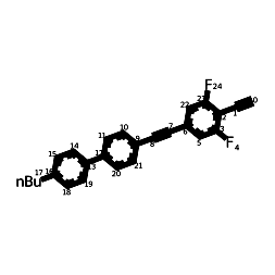 C#Cc1c(F)cc(C#Cc2ccc(-c3ccc(CCCC)cc3)cc2)cc1F